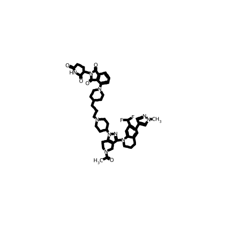 CC(=O)N1CCc2c(c(N3CCCc4cc(-c5cnn(C)c5)c(C(F)F)cc43)nn2C2CCN(CCCC3CCN(c4cccc5c4C(=O)N(C4CCC(=O)NC4=O)C5=O)CC3)CC2)C1